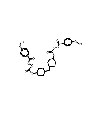 CC(C)Oc1ccc(C(=O)OOC(=O)OC2CCC(CC3CCC(OC(=O)OOC(=O)c4ccc(OC(C)C)cc4)CC3)CC2)cc1